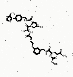 Cc1ncsc1-c1ccc(CNC(=O)[C@@H]2C[C@@H](O)CN2C(=O)[C@@H](NC(=O)CCCCc2cccc(CNC(=O)[C@H](CCC(N)=O)NC(=O)OC(C)(C)C)c2)C(C)(C)C)cc1